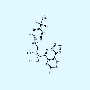 CCN(C(=O)c1cc(F)cnc1-n1nccn1)[C@@H](C)CNc1ncc(C(C)(F)F)cn1